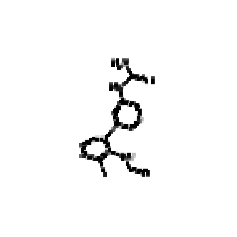 Cc1[c]ccc(-c2cccc(NC(=N)N)c2)c1NC=O